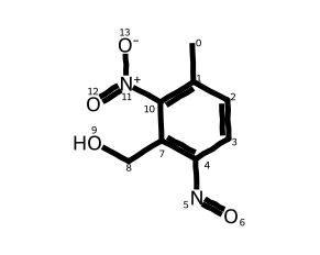 Cc1ccc(N=O)c(CO)c1[N+](=O)[O-]